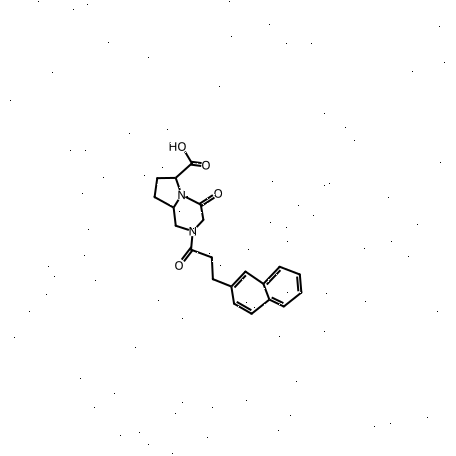 O=C(O)C1CCC2CN(C(=O)CCc3ccc4ccccc4c3)CC(=O)N21